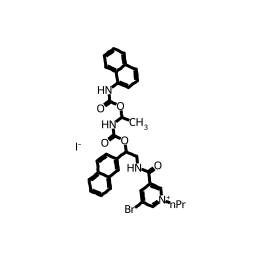 CCC[n+]1cc(Br)cc(C(=O)NCC(OC(=O)NC(C)OC(=O)Nc2cccc3ccccc23)c2ccc3ccccc3c2)c1.[I-]